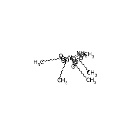 CCCCCCCCCCCC(=O)OCC(CN(CCCCC(N)C(=O)OCC)CC(COC(=O)CCCCCCCCCCC)OC(=O)CCCCCCCCCCC)OC(=O)CCCCCCCCCCC